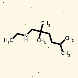 CCNCC(C)(C)CCC(C)C